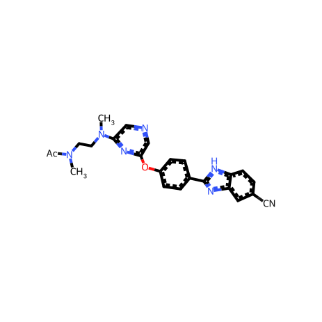 CC(=O)N(C)CCN(C)c1cncc(Oc2ccc(-c3nc4cc(C#N)ccc4[nH]3)cc2)n1